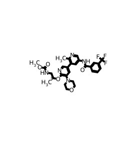 COC(=O)NC[C@@H](C)Oc1ncc(-c2cc(NC(=O)c3cccc(C(F)(F)F)c3)cnc2C)cc1N1CCOCC1